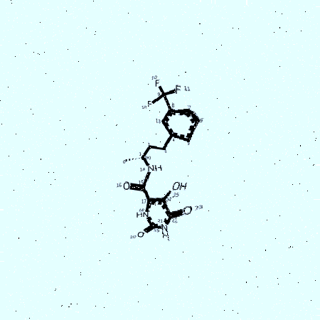 C[C@H](CCc1cccc(C(F)(F)F)c1)NC(=O)c1[nH]c(=O)[nH]c(=O)c1O